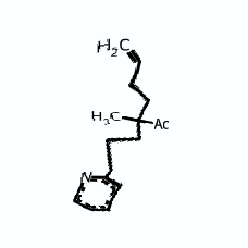 C=CCCC(C)(CCc1ccccn1)C(C)=O